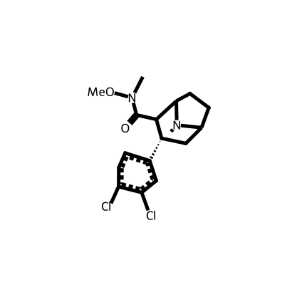 CON(C)C(=O)C1C2CCC(C[C@@H]1c1ccc(Cl)c(Cl)c1)N2C